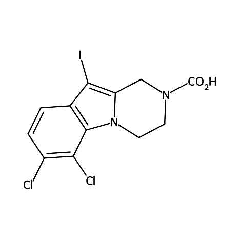 O=C(O)N1CCn2c(c(I)c3ccc(Cl)c(Cl)c32)C1